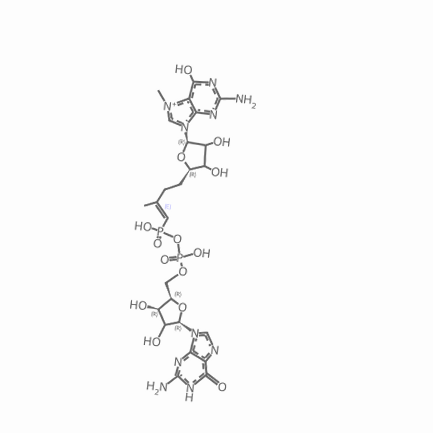 C/C(=C\P(=O)(O)OP(=O)(O)OC[C@H]1O[C@@H](n2cnc3c(=O)[nH]c(N)nc32)C(O)[C@H]1O)CC[C@H]1O[C@@H](n2c[n+](C)c3c(O)nc(N)nc32)C(O)C1O